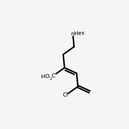 C=C(Cl)C=C(CCCCCCCC)C(=O)O